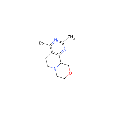 CCc1nc(C)nc2c1CCN1CCOCC21